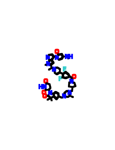 CNc1ccn(-c2ccnc3c2cc([C@H](C)N2CC=C(c4c(F)cc(C(=O)N5CCC(CN6CCN(Cc7ccc8c(c7)C(C)(C)C(=O)N8[C@H]7CCC(=O)NC7=O)C[C@@H]6C)CC5)cc4F)CC2)n3C)c(=O)c1